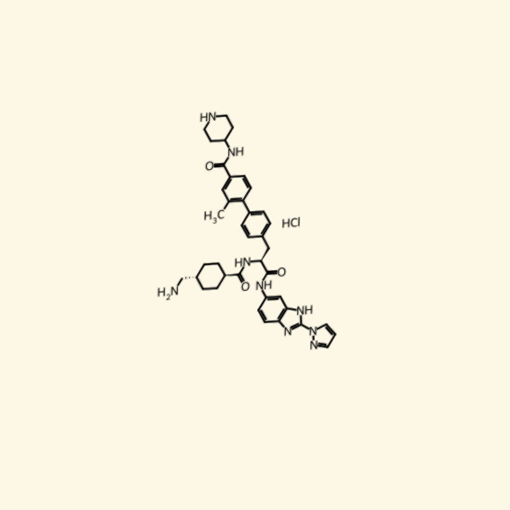 Cc1cc(C(=O)NC2CCNCC2)ccc1-c1ccc(C[C@H](NC(=O)[C@H]2CC[C@H](CN)CC2)C(=O)Nc2ccc3nc(-n4cccn4)[nH]c3c2)cc1.Cl